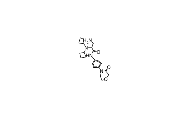 NC[C@@H](C(=O)Nc1ccc(N2CCOCC2=O)cc1)N(C1CCC1)C1CCC1